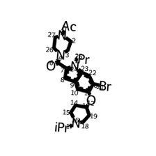 CC(=O)N1CCN(C(=O)c2cc3cc(OC4CCN(C(C)C)CC4)c(Br)cc3n2C(C)C)CC1